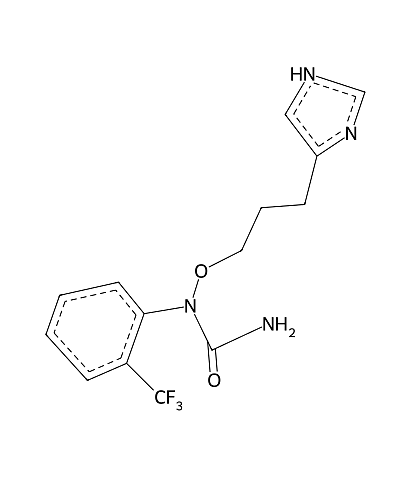 NC(=O)N(OCCCc1c[nH]cn1)c1ccccc1C(F)(F)F